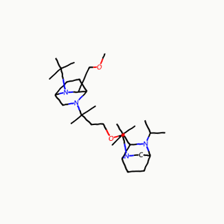 COCC1C2CCC(CN2C(C)(C)CCOCC2C3CCC(CN3C(C)(C)C)N2C(C)C)N1C(C)(C)C